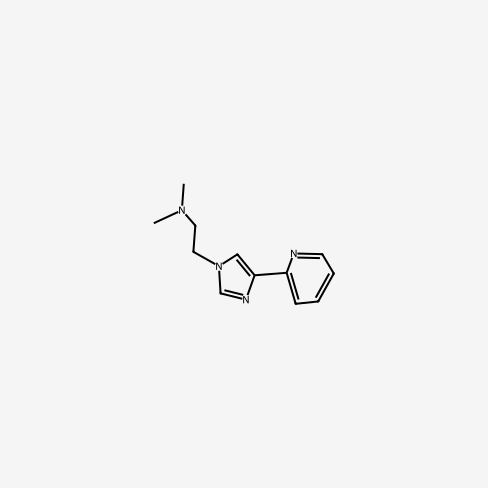 CN(C)CCn1cnc(-c2ccccn2)c1